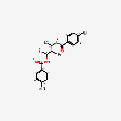 CCCC(C(CC)OC(=O)c1ccc(C(C)(C)C)cc1)C(CC)OC(=O)c1ccc(C(C)(C)C)cc1